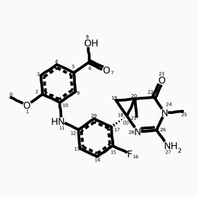 COc1ccc(C(=O)O)cc1Nc1ccc(F)c([C@]23CC2(C)C(=O)N(C)C(N)=N3)c1